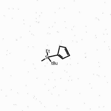 CC[Si](C)(C1=CC=CC1)C(C)(C)C